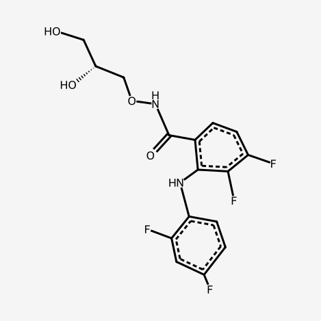 O=C(NOC[C@H](O)CO)c1ccc(F)c(F)c1Nc1ccc(F)cc1F